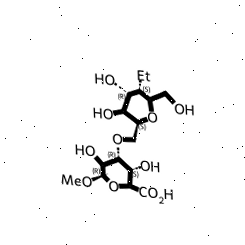 CC[C@@H]1C(CO)O[C@@H](CO[C@H]2C(O)[C@H](OC)OC(C(=O)O)[C@H]2O)C(O)[C@@H]1O